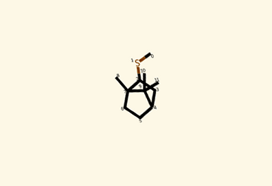 CSC1CC2CCC1(C)C2(C)C